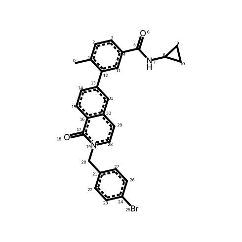 Cc1ccc(C(=O)NC2CC2)cc1-c1ccc2c(=O)n(Cc3ccc(Br)cc3)ccc2c1